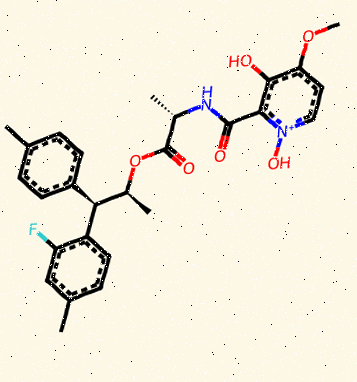 COc1cc[n+](O)c(C(=O)N[C@@H](C)C(=O)O[C@@H](C)[C@H](c2ccc(C)cc2)c2ccc(C)cc2F)c1O